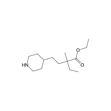 CCOC(=O)C(C)(CC)CCC1CCNCC1